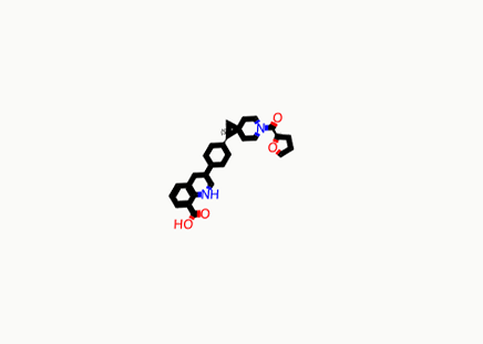 O=C(O)c1cccc2c1NCC(C1CCC([C@@H]3CC34CCN(C(=O)[C@H]3CCCO3)CC4)CC1)C2